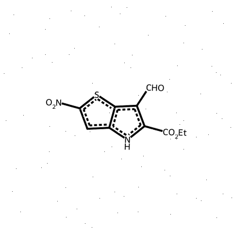 CCOC(=O)c1[nH]c2cc([N+](=O)[O-])sc2c1C=O